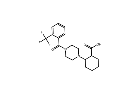 O=C(O)C1CCCCC1N1CCN(C(=O)c2ccccc2C(F)(F)F)CC1